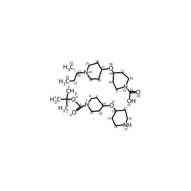 CC(C)(C)OC(=O)N1CCC(OC2CCNCC2)CC1.CC[C@H](C)N1CCC(OC2CCN(C(=O)O)CC2)CC1